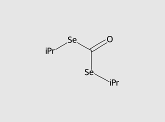 CC(C)[Se]C(=O)[Se]C(C)C